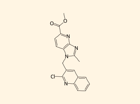 COC(=O)c1ccc2c(n1)nc(C)n2Cc1cc2ccccc2nc1Cl